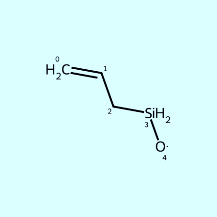 C=CC[SiH2][O]